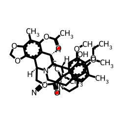 CCOc1cc2c(cc1OC)[C@@]1(CS[C@@H]3c4c(OC(C)=O)c(C)c5c(c4[C@H](COC1=O)N1C3[C@@H]3c4c(cc(C)c(OC)c4O)C[C@H]([C@@H]1C#N)N3C)OCO5)NCC2